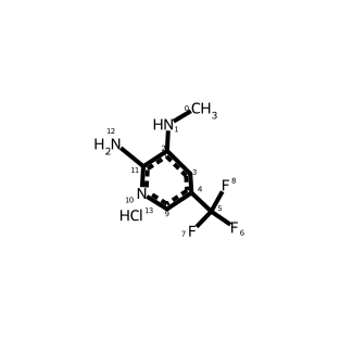 CNc1cc(C(F)(F)F)cnc1N.Cl